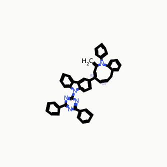 C=C1/C=C(c2ccc3c(c2)c2ccccc2n3-c2nc(-c3ccccc3)nc(-c3ccccc3)n2)\C=C/Cc2ccccc2N1c1ccccc1